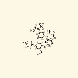 COc1cc(N2CCN(C)CC2)ccc1Nc1ncc2c(n1)N(c1cccc(N(C(=O)O)C(C)(C)C)c1)C(=O)N(C)C2